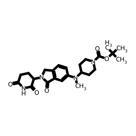 CN(c1ccc2c(c1)C(=O)N(C1CCC(=O)NC1=O)C2)C1CCN(C(=O)OC(C)(C)C)CC1